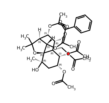 CC(=O)OC[C@]12[C@H](OC(C)=O)[C@H](OC(C)=O)C[C@@](C)(O)[C@@]13OC(C)(C)[C@@H]([C@H](OC(C)=O)[C@@H]2OC(=O)c1ccccc1)[C@@H]3OC(C)=O